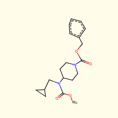 CC(C)(C)OC(=O)N(CC1CC1)C1CCN(C(=O)OCc2ccccc2)CC1